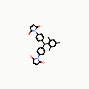 Cc1cc(C)c(C(c2ccc(N3C(=O)C=CC3=O)cc2)c2ccc(N3C(=O)C=CC3=O)cc2)c(C)c1